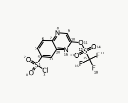 O=S(=O)(Cl)c1ccc2ncc(OS(=O)(=O)C(F)(F)F)nc2c1